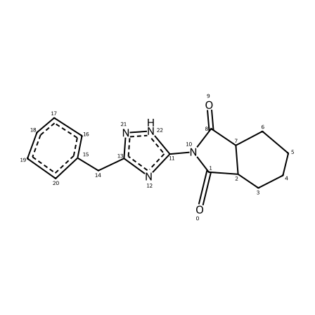 O=C1C2CCCCC2C(=O)N1c1nc(Cc2ccccc2)n[nH]1